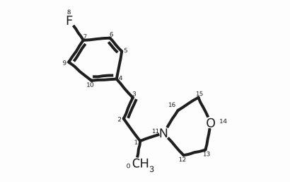 CC(/C=C/c1ccc(F)cc1)N1CCOCC1